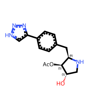 CC(=O)O[C@@H]1[C@@H](O)CN[C@@H]1Cc1ccc(-c2c[nH]nn2)cc1